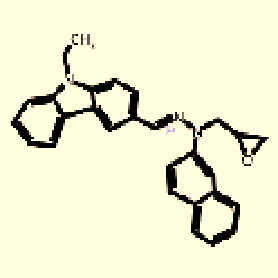 CCn1c2ccccc2c2cc(/C=N/N(CC3CO3)c3ccc4ccccc4c3)ccc21